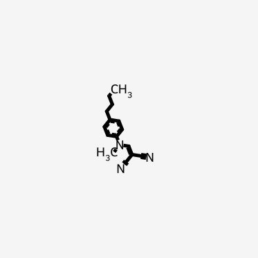 CCCCc1ccc(N(C)C=C(C#N)C#N)cc1